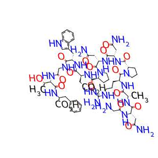 C[C@H](NC(=O)[C@H](CC(N)=O)NC(=O)CN)C(=O)N[C@@H](CCCNC(=N)N)C(=O)N1CCC[C@H]1C(=O)N[C@@H](CC(N)=O)C(=O)N[C@@H](CC(N)=O)C(=O)N1CCC[C@H]1C(=O)N[C@@H](CC(=O)O)C(=O)N[C@@H](Cc1c[nH]c2ccccc12)C(=O)NCC(=O)N[C@H](C(=O)N[C@@H](Cc1ccccc1)C(=O)O)[C@@H](C)O